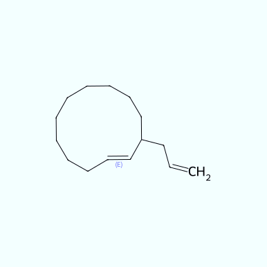 C=CCC1/C=C/CCCCCCCCC1